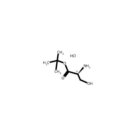 CC(C)(C)OC(=O)[C@@H](N)CO.Cl